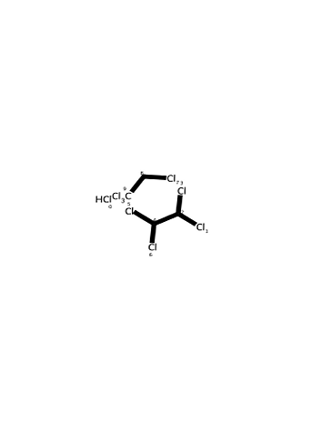 Cl.ClC(Cl)C(Cl)Cl.ClCC(Cl)(Cl)Cl